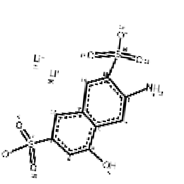 Nc1cc2c(O)cc(S(=O)(=O)[O-])cc2cc1S(=O)(=O)[O-].[Li+].[Li+]